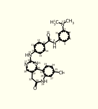 CN(C)c1cccc(NC(=O)c2ccc(Nc3ncc4c(n3)-c3ccc(Cl)cc3NC(=O)C4)cc2)c1